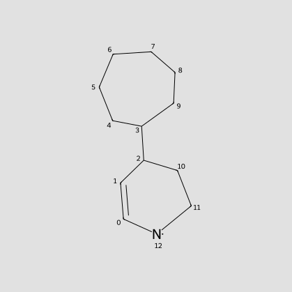 C1=CC(C2CCCCCC2)CC[N]1